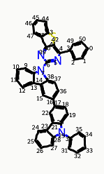 c1ccc(-c2nc(-n3c4ccccc4c4cc(-c5ccc6c(c5)c5ccccc5n6-c5ccccc5)ccc43)nc3c2sc2ccccc23)cc1